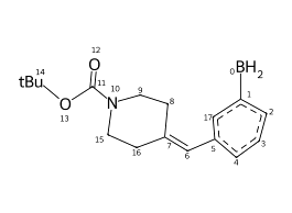 Bc1cccc(C=C2CCN(C(=O)OC(C)(C)C)CC2)c1